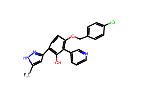 Oc1c(-c2cc(C(F)(F)F)[nH]n2)ccc(OCc2ccc(Cl)cc2)c1-c1cccnc1